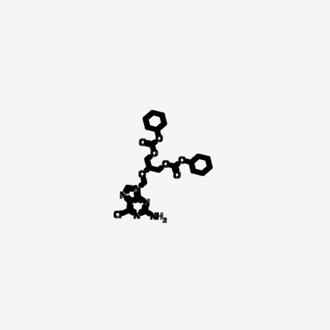 Nc1nc(Cl)c2ncn(COC(COC(=O)OC3CCCCC3)COC(=O)OC3CCCCC3)c2n1